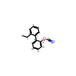 CCc1ccccc1-c1ccccc1OC#N